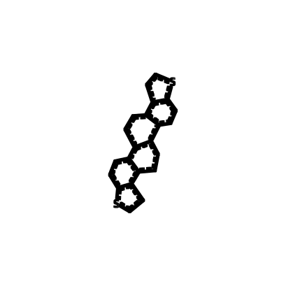 c1cc2c(ccc3c2ccc2c4ccc5sccc5c4ccc32)s1